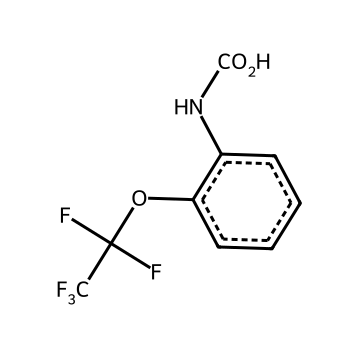 O=C(O)Nc1ccccc1OC(F)(F)C(F)(F)F